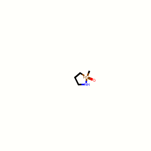 C[SH]1(=O)CCCN1